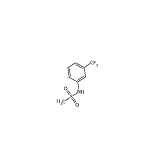 CS(=O)(=O)Nc1[c]ccc(C(F)(F)F)c1